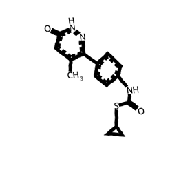 Cc1cc(=O)[nH]nc1-c1ccc(NC(=O)SC2CC2)cc1